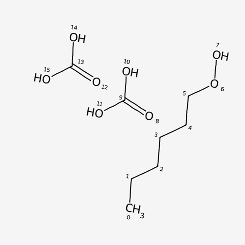 CCCCCCOO.O=C(O)O.O=C(O)O